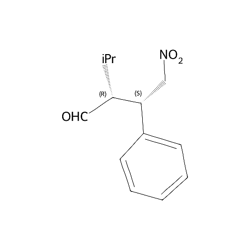 CC(C)[C@@H](C=O)[C@H](C[N+](=O)[O-])c1ccccc1